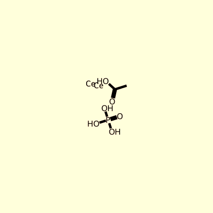 CC(=O)O.O=P(O)(O)O.[Ce].[Ce]